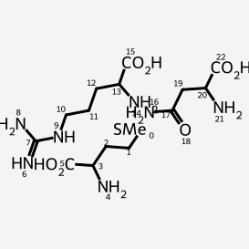 CSCCC(N)C(=O)O.N=C(N)NCCCC(N)C(=O)O.NC(=O)CC(N)C(=O)O